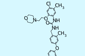 Cc1cc(NC(=O)NCc2ccc(Oc3ccncc3)cc2C)c(OCCN2CCOCC2)cc1Cl